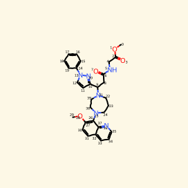 COC(=O)CNC(=O)CC(c1ccn(-c2ccccc2)n1)N1CCCN(c2c(OC)ccc3cccnc23)CC1